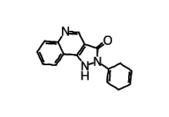 O=c1c2cnc3ccccc3c2[nH]n1C1=CCC=CC1